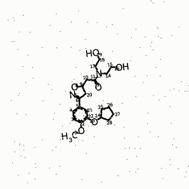 COc1ccc(C2=NOC(CC(=O)N(CCO)CCO)C2)cc1OC1CCCC1